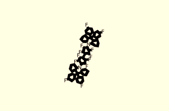 Fc1ccc(C2(c3ccc(F)cc3)c3ccccc3N(c3c(F)c(F)c(-c4c(F)c(F)c(N5c6ccccc6C(c6ccc(F)cc6)(c6ccc(F)cc6)c6ccccc65)c(F)c4F)c(F)c3F)c3ccccc32)cc1